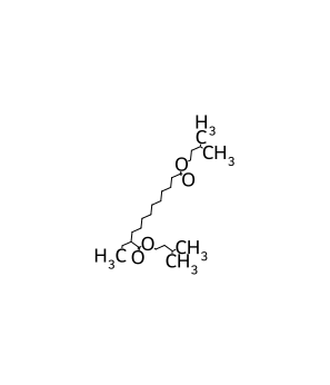 CCC(CCCCCCCCCC(=O)OCCC(C)C)C(=O)OCCC(C)C